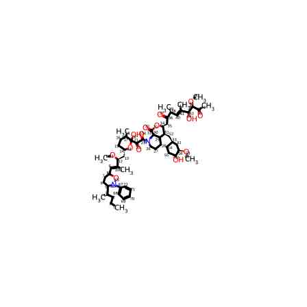 CCC[C@H](C)C1CCC(/C=C(\C)[C@H](C[C@@H]2CCC(C)C(O)(C(=O)C(=O)N3CCCC4C3C(=O)O[C@@H](CC(=O)[C@H](C)/C=C(\C)C(O)[C@@H](OC)C(C)=O)[C@H]4C[C@@H]3CCC(O)[C@H](OC)C3)O2)OC)ON1c1ccccc1